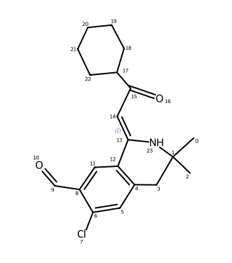 CC1(C)Cc2cc(Cl)c(C=O)cc2/C(=C/C(=O)C2CCCCC2)N1